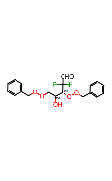 O=CC(F)(F)[C@H](OOCc1ccccc1)[C@@H](O)COOCc1ccccc1